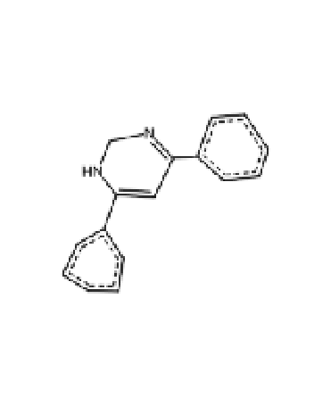 C1=C(c2ccccc2)NCN=C1c1ccccc1